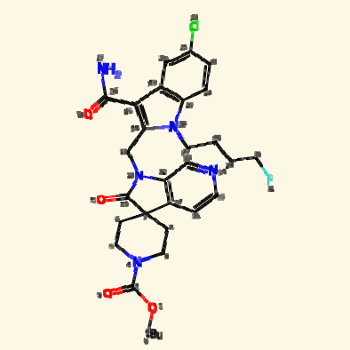 CC(C)(C)OC(=O)N1CCC2(CC1)C(=O)N(Cc1c(C(N)=O)c3cc(Cl)ccc3n1CCCCF)c1cnccc12